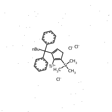 CCCCC(C1=CCC([Si](C)(C)C)=[C]1[Ti+3])(c1ccccc1)c1ccccc1.[Cl-].[Cl-].[Cl-]